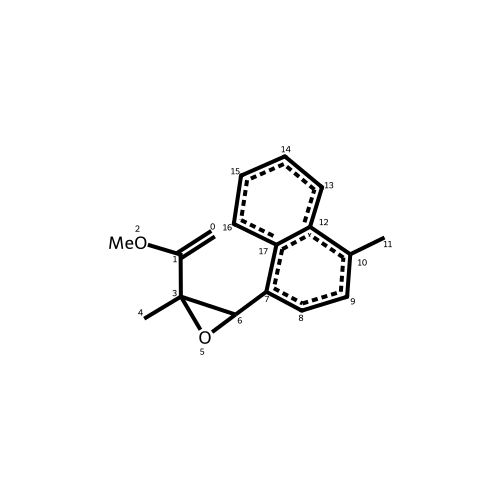 C=C(OC)C1(C)OC1c1ccc(C)c2ccccc12